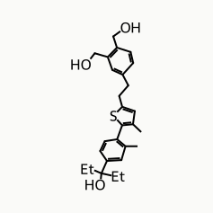 CCC(O)(CC)c1ccc(-c2sc(CCc3ccc(CO)c(CO)c3)cc2C)c(C)c1